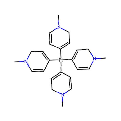 CN1C=C[C]([Pt]([C]2=CCN(C)C=C2)([C]2=CCN(C)C=C2)[C]2=CCN(C)C=C2)=CC1